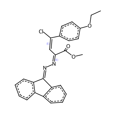 CCOc1ccc(/C(Cl)=C\C(=N/N=C2c3ccccc3-c3ccccc32)C(=O)OC)cc1